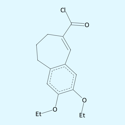 CCOc1cc2c(cc1OCC)CCCC(C(=O)Cl)=C2